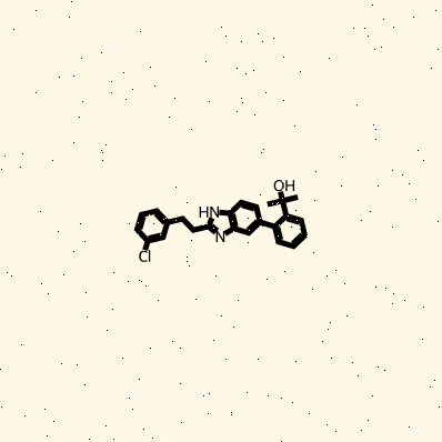 CC(C)(O)c1ccccc1-c1ccc2[nH]c(CCc3cccc(Cl)c3)nc2c1